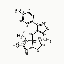 Cc1snc(-c2ccc(Br)cc2)c1CC1(N(C)C(=O)O)CCCC1